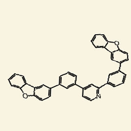 c1cc(-c2ccnc(-c3cccc(-c4ccc5oc6ccccc6c5c4)c3)c2)cc(-c2ccc3oc4ccccc4c3c2)c1